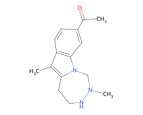 CC(=O)c1ccc2c(C)c3n(c2c1)CN(C)NCC3